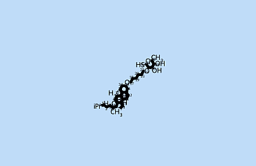 CC(C)CCC[C@@H](C)[C@H]1CC[C@H]2[C@@H]3CC=C4CC(OCCCCCCO[C@@H]5[C@@H](O)[C@@H](O)[C@@H](C)O[C@H]5S)CC[C@]4(C)[C@H]3CC[C@]12C